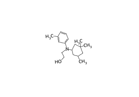 Cc1cccc(N(CCO)C2CC(C)CC(C)(C)C2)c1